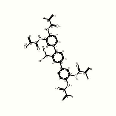 C=C(C)C(=O)Oc1ccc(-c2ccc(-c3ccc(OC(=O)C(=C)C)c(OC(=O)C(=C)CC)c3)c(C(F)F)c2)cc1OC(=O)C(=C)C